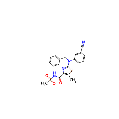 Cc1sc(N(Cc2ccccc2)c2cccc(C#N)c2)nc1C(=O)NS(C)(=O)=O